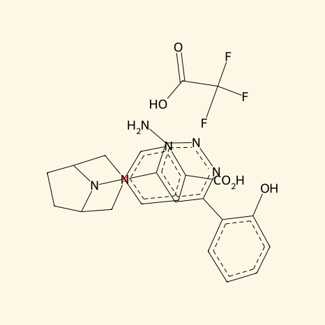 Nc1nnc(-c2ccccc2O)cc1N1CC2CCC(C1)N2c1ccc(C(=O)O)nc1.O=C(O)C(F)(F)F